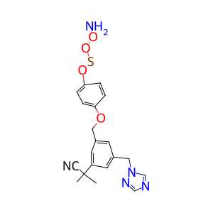 CC(C)(C#N)c1cc(COc2ccc(OSOON)cc2)cc(Cn2cncn2)c1